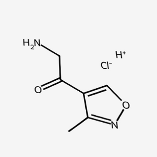 Cc1nocc1C(=O)CN.[Cl-].[H+]